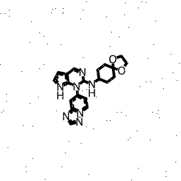 C1=NC(NC2CCC3(CC2)OCCO3)N(c2ccn3ncnc3c2)c2[nH]ccc21